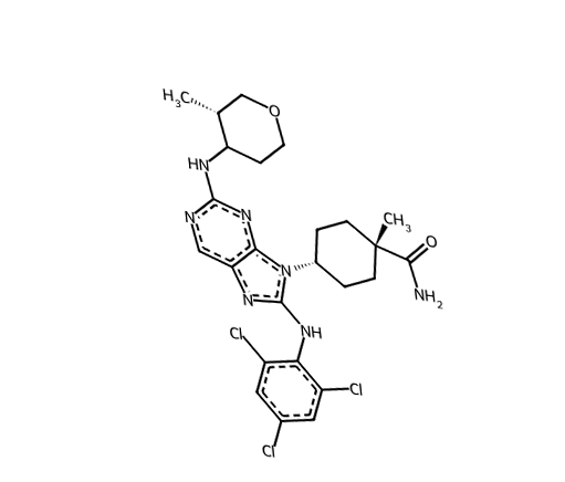 C[C@@H]1COCCC1Nc1ncc2nc(Nc3c(Cl)cc(Cl)cc3Cl)n([C@H]3CC[C@@](C)(C(N)=O)CC3)c2n1